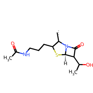 [C]C1C(CCCNC(C)=O)S[C@@H]2C(C(C)O)C(=O)N12